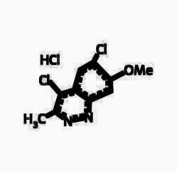 COc1cc2nnc(C)c(Cl)c2cc1Cl.Cl